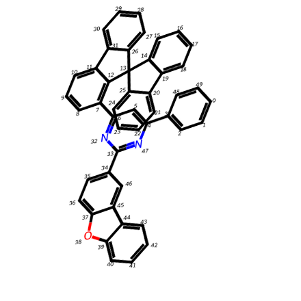 c1ccc(-c2cc(-c3cccc4c3C3(c5ccccc5-c5ccccc53)c3ccccc3-4)nc(-c3ccc4oc5ccccc5c4c3)n2)cc1